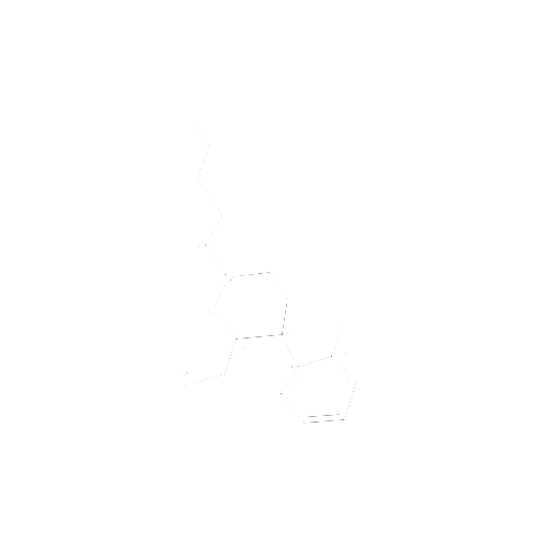 CCCCCN1CCC(c2ccccc2Cl)C(CO)C1